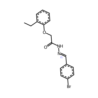 CCc1ccccc1OCC(=O)N/N=C/c1ccc(Br)cc1